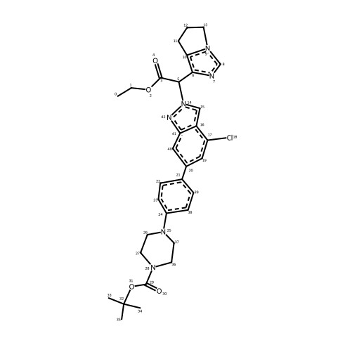 CCOC(=O)C(c1ncn2c1CCC2)n1cc2c(Cl)cc(-c3ccc(N4CCN(C(=O)OC(C)(C)C)CC4)cc3)cc2n1